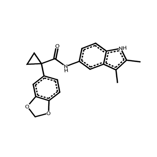 Cc1[nH]c2ccc(NC(=O)C3(c4ccc5c(c4)OCO5)CC3)cc2c1C